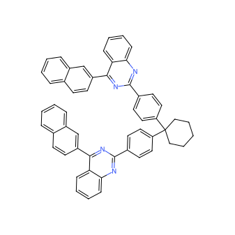 c1ccc2cc(-c3nc(-c4ccc(C5(c6ccc(-c7nc(-c8ccc9ccccc9c8)c8ccccc8n7)cc6)CCCCC5)cc4)nc4ccccc34)ccc2c1